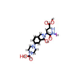 COC(=O)CCC(C(=O)NI)N1Cc2ccc(N3CCN(C(=O)O)CC3)cc2C1=O